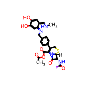 CN/C=C1/C=C(O)C(O)=C/C1=N\Cc1ccc(C2=C(C(=O)OC(C)=O)N3C(=O)[C@@H](NC(=O)I)[C@H]3SC2)cc1